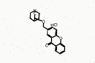 Cl.O=c1c2ccccc2oc2ccc(COC3CN4CCC3CC4)cc12